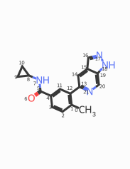 Cc1ccc(C(=O)NC2CC2)cc1-c1cc2cn[nH]c2cn1